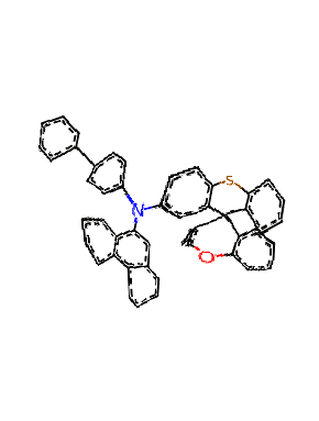 c1ccc(-c2ccc(N(c3ccc4c(c3)C3(c5ccccc5Oc5ccccc53)c3ccccc3S4)c3cc4ccccc4c4ccccc34)cc2)cc1